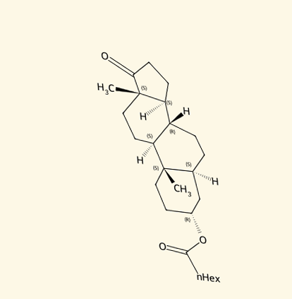 CCCCCCC(=O)O[C@@H]1CC[C@@]2(C)[C@@H](CC[C@@H]3[C@@H]2CC[C@]2(C)C(=O)CC[C@@H]32)C1